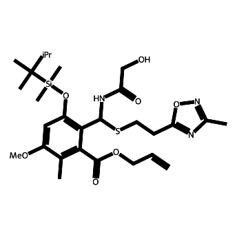 C=CCOC(=O)c1c(C)c(OC)cc(O[Si](C)(C)C(C)(C)C(C)C)c1C(NC(=O)CO)SCCc1nc(C)no1